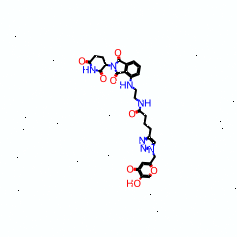 O=C(CCCc1cn(Cc2cc(=O)c(O)co2)nn1)NCCNc1cccc2c1C(=O)N(C1CCC(=O)NC1=O)C2=O